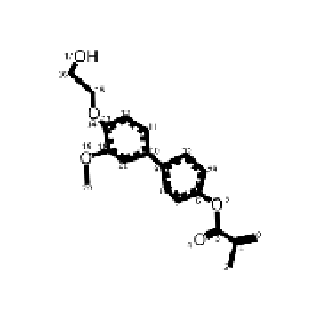 C=C(C)C(=O)Oc1ccc(-c2ccc(OCCO)c(OC)c2)cc1